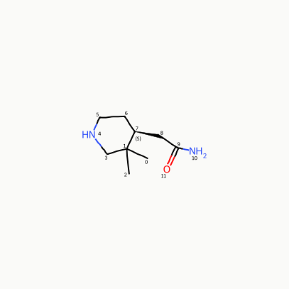 CC1(C)CNCC[C@H]1CC(N)=O